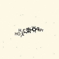 C=C(Cc1nc(-c2ccc(OCCC)cc2)no1)C(=O)O